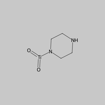 [O]=[Ti](=[O])[N]1CCNCC1